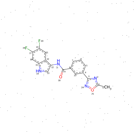 Cc1nc(-c2cccc(C(=O)Nc3c[nH]c4cc(F)c(F)cc34)c2)no1